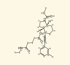 CCNC(=O)CCCC(=O)O[C@@]1(C#Cc2cccc(C)c2)CCC[C@@H]2[C@H]1CCN2C(=O)OC